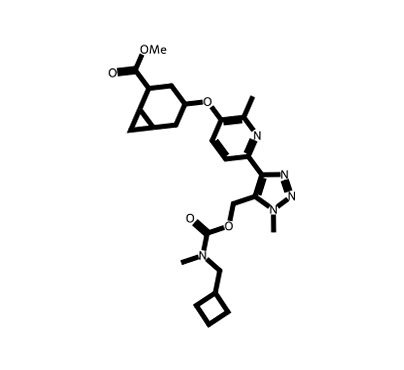 COC(=O)C1CC(Oc2ccc(-c3nnn(C)c3COC(=O)N(C)CC3CCC3)nc2C)CC2CC21